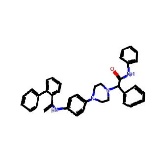 C=C(Nc1ccc(N2CCN(C(C(=O)Nc3ccccc3)c3ccccc3)CC2)cc1)c1ccccc1-c1ccccc1